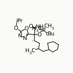 CC(C[CH]C(O[Si](C)(C)C(C)(C)C)(C(N)=O)c1nnc(OC(C)C)o1)CC1CCCCC1